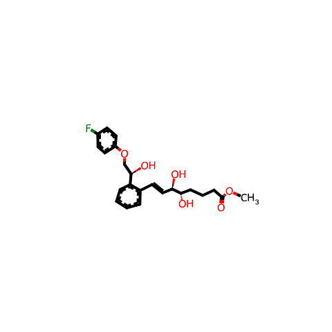 COC(=O)CCC[C@H](O)[C@H](O)/C=C/c1ccccc1[C@H](O)COc1ccc(F)cc1